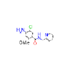 COc1cc(N)c(Cl)cc1C(=O)NCc1ccccn1